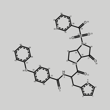 O=C(NC(Cc1cccs1)C(=O)N1CCC2C1C(=O)CN2S(=O)(=O)C(=O)c1cccnc1)c1ccc(Oc2ccccc2)cc1